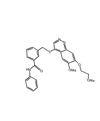 COCCOc1cc2nncc(SCc3cccc(C(=O)Nc4ccccc4)c3)c2cc1OC